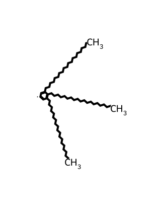 CCCCCCCCCCCCCCCCCCCCc1c[c]cc(CCCCCCCCCCCCCCCCCCCC)c1CCCCCCCCCCCCCCCCCCCC